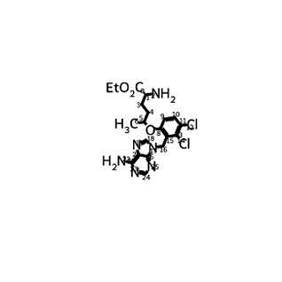 CCOC(=O)[C@H](N)CCC(C)Oc1ccc(Cl)c(Cl)c1Cn1cnc2c(N)ncnc21